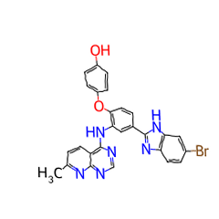 Cc1ccc2c(Nc3cc(-c4nc5ccc(Br)cc5[nH]4)ccc3Oc3ccc(O)cc3)ncnc2n1